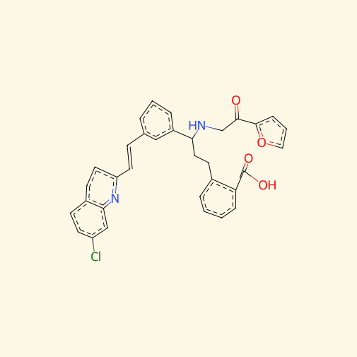 O=C(CNC(CCc1ccccc1C(=O)O)c1cccc(/C=C/c2ccc3ccc(Cl)cc3n2)c1)c1ccco1